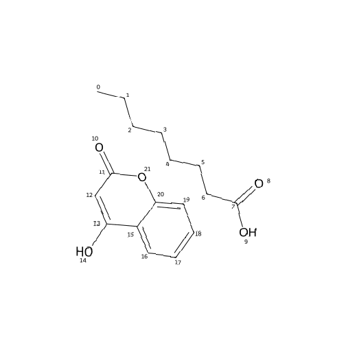 CCCCCCCC(=O)O.O=c1cc(O)c2ccccc2o1